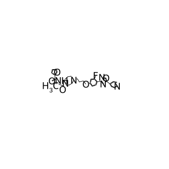 C[C@H](NC(=O)c1ccco1)C(=O)N1CCCN(CCCOc2ccc(-c3noc(-c4ccncc4)n3)c(F)c2)CC1